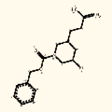 C=C(C)CCC1CC(CC)CN(C(=O)OCc2ccccc2)C1